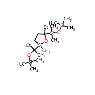 CCC1([Si](C)(C)O[Si](C)(C)C)CC[Si](C)(C(C)(CC)O[Si](C)(C)C)O1